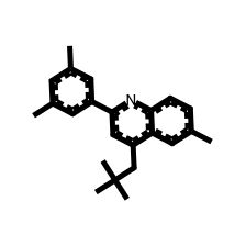 Cc1cc(C)cc(-c2cc(CC(C)(C)C)c3cc(C)ccc3n2)c1